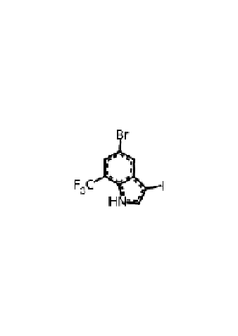 FC(F)(F)c1cc(Br)cc2c(I)c[nH]c12